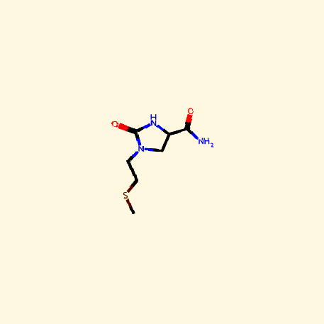 CSCCN1CC(C(N)=O)NC1=O